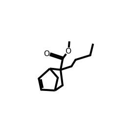 CCCCC1(C(=O)OC)CC2C=CC1C2